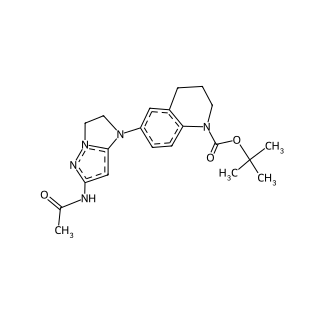 CC(=O)Nc1cc2n(n1)CCN2c1ccc2c(c1)CCCN2C(=O)OC(C)(C)C